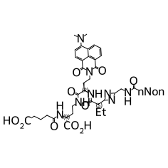 CCCCCCCCCC(=O)NCC1N2C([C@H](CC)C(=O)N[C@H](CCN3C(=O)c4cccc5c(N(C)C)ccc(c45)C3=O)C(=O)NCC[C@@H](NC(=O)CCCC(=O)O)C(=O)O)N12